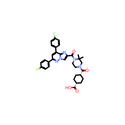 CC1(C)CN(C(=O)[C@H]2CC[C@@H](C(=O)O)CC2)CCN1C(=O)c1cn2nc(-c3ccc(F)cc3)cc(-c3ccc(F)cc3)c2n1